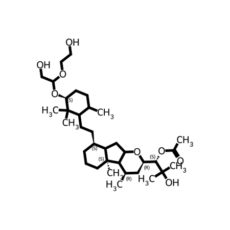 CC(=O)O[C@@H]([C@H]1C[C@@H](C)C2C(CC3[C@H](CCC4C(C)CC[C@H](OC(CO)OCCO)C4(C)C)CCC[C@@]32C)O1)C(C)(C)O